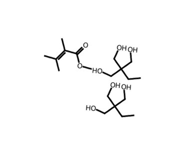 CCC(CO)(CO)CO.CCC(CO)(CO)CO.COC(=O)C(C)=C(C)C